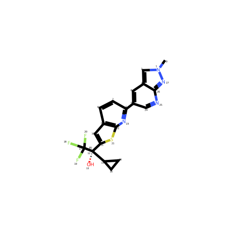 Cn1cc2cc(-c3ccc4cc([C@@](O)(C5CC5)C(F)(F)F)sc4n3)cnc2n1